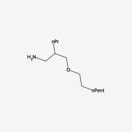 CCCCCCCOCC(CN)CCC